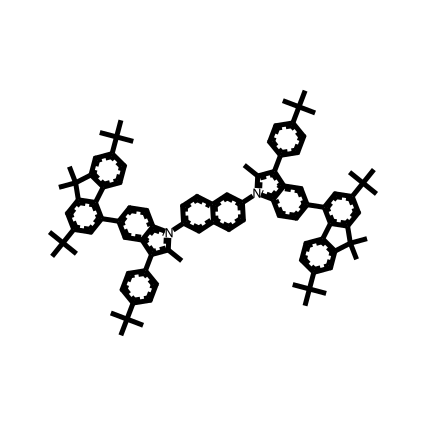 Cc1c(-c2ccc(C(C)(C)C)cc2)c2cc(-c3cc(C(C)(C)C)cc4c3-c3ccc(C(C)(C)C)cc3C4(C)C)ccc2n1-c1ccc2cc(-n3c(C)c(-c4ccc(C(C)(C)C)cc4)c4cc(-c5cc(C(C)(C)C)cc6c5-c5ccc(C(C)(C)C)cc5C6(C)C)ccc43)ccc2c1